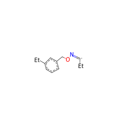 CC/[C]=N\OCc1cccc(CC)c1